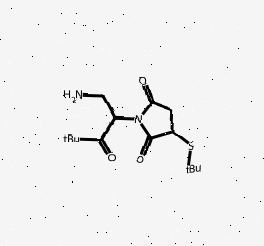 CC(C)(C)SC1CC(=O)N(C(CN)C(=O)C(C)(C)C)C1=O